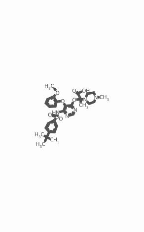 COc1ccccc1Oc1c(NS(=O)(=O)c2ccc(C(C)(C)C)cc2)ncnc1OC(C)(C(=O)O)N1CCN(C)CC1